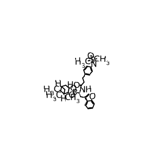 CC1(C)[C@@H]2C[C@H]3OB([C@H](Cc4coc5ccccc45)NC(=O)CCc4ccc(N=S(C)(C)=O)cc4)O[C@@]3(C)[C@H]1C2